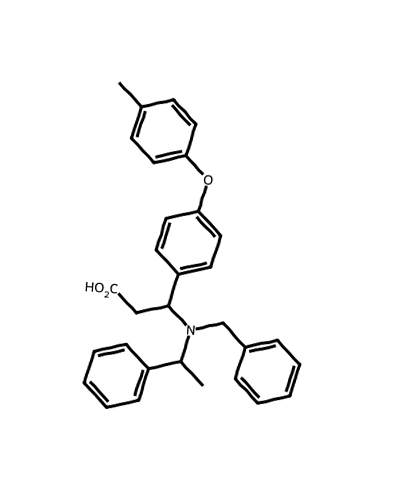 Cc1ccc(Oc2ccc(C(CC(=O)O)N(Cc3ccccc3)C(C)c3ccccc3)cc2)cc1